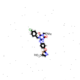 COCn1c(=O)[nH]/c(=N\c2ccc(Oc3ncc(C(=O)O)s3)cc2)n(CC2C=CC(Cl)=CC2)c1=O